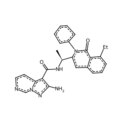 CCc1cccc2cc([C@H](C)NC(=O)c3c(N)nn4cnccc34)n(-c3ccccc3)c(=O)c12